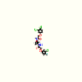 CN(C(=O)COc1ccc(Cl)c(Cl)c1)C1CC2(NC(=O)COc3ccc(F)c(Cl)c3)CC1C2